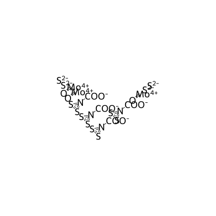 O=C([O-])n1ss1.O=C([O-])n1ss1.O=C([O-])n1ss1.O=C([O-])n1ss1.[O]=[Mo+4].[O]=[Mo+4].[O]=[Mo+4].[S-2].[S-2].[S-2].[S-2]